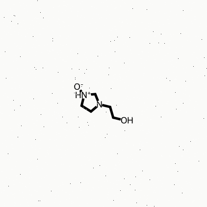 [O-][NH+]1CCN(CCO)C1